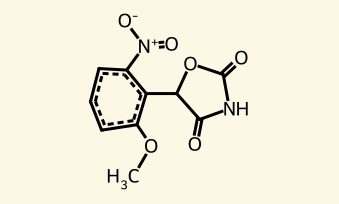 COc1cccc([N+](=O)[O-])c1C1OC(=O)NC1=O